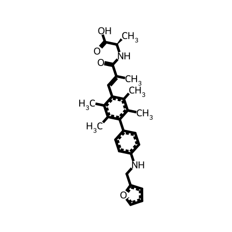 C/C(=C\c1c(C)c(C)c(-c2ccc(NCc3ccco3)cc2)c(C)c1C)C(=O)N[C@H](C)C(=O)O